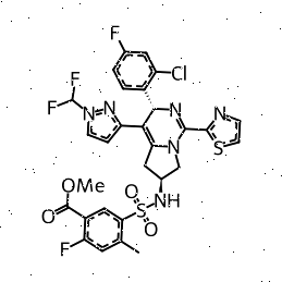 COC(=O)c1cc(S(=O)(=O)N[C@H]2CC3=C(c4ccn(C(F)F)n4)[C@H](c4ccc(F)cc4Cl)N=C(c4nccs4)N3C2)c(C)cc1F